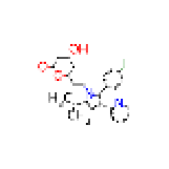 CC(C)c1cc(-c2ccccn2)c(-c2ccc(F)cc2)n1CC[C@@H]1C[C@@H](O)CC(=O)O1